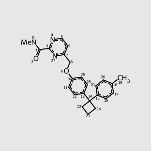 CNC(=O)c1nccc(COc2ccc(C3(c4ccc(C)cc4)CCC3)cc2)n1